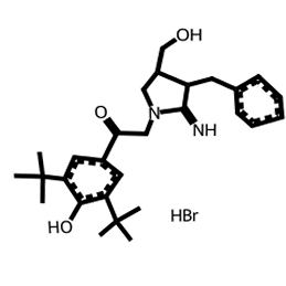 Br.CC(C)(C)c1cc(C(=O)CN2CC(CO)C(Cc3ccccc3)C2=N)cc(C(C)(C)C)c1O